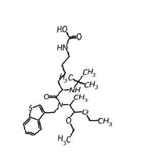 CCOC(OCC)C(C)N(Cc1csc2ccccc12)C(=O)C(CCCCNC(=O)O)NC(C)(C)C